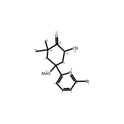 COC1(c2cccc(Br)n2)CC(C#N)C(=O)C(C)(C)C1